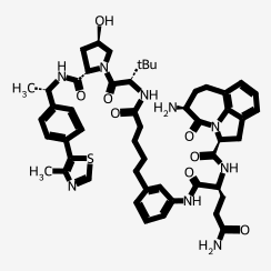 Cc1ncsc1-c1ccc([C@H](C)NC(=O)[C@@H]2C[C@@H](O)CN2C(=O)[C@@H](NC(=O)CCCCc2cccc(NC(=O)[C@H](CCC(N)=O)NC(=O)[C@@H]3Cc4cccc5c4N3C(=O)[C@@H](N)CC5)c2)C(C)(C)C)cc1